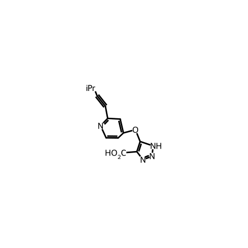 CC(C)C#Cc1cc(Oc2[nH]nnc2C(=O)O)ccn1